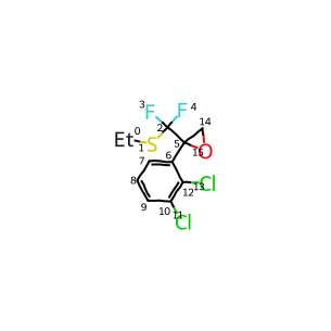 CCSC(F)(F)C1(c2cccc(Cl)c2Cl)CO1